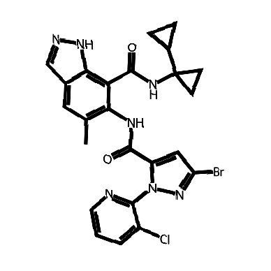 Cc1cc2cn[nH]c2c(C(=O)NC2(C3CC3)CC2)c1NC(=O)c1cc(Br)nn1-c1ncccc1Cl